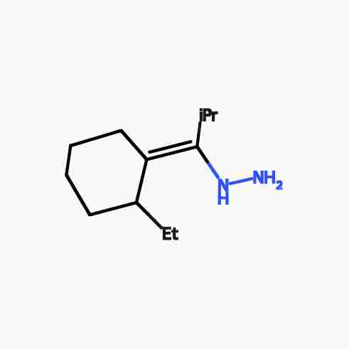 CCC1CCCC/C1=C(/NN)C(C)C